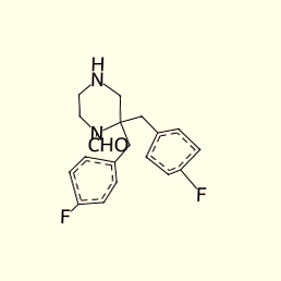 O=CN1CCNCC1(Cc1ccc(F)cc1)Cc1ccc(F)cc1